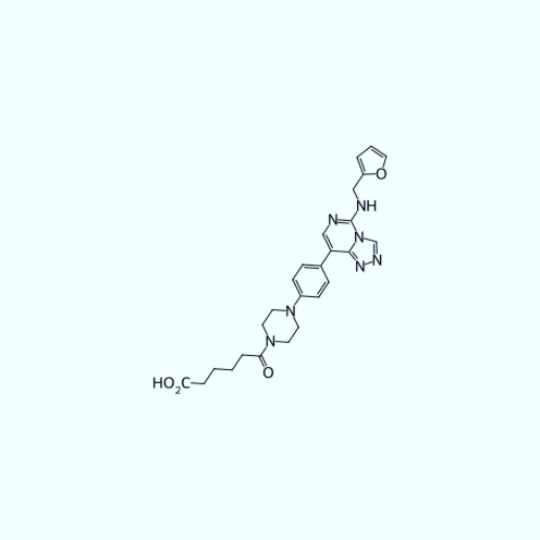 O=C(O)CCCCC(=O)N1CCN(c2ccc(-c3cnc(NCc4ccco4)n4cnnc34)cc2)CC1